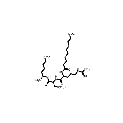 CNCCCC[C@@H](NC(=O)[C@H](CC(=O)O)NC(=O)C(CCCNC(=N)N)NC(=O)CCOCCOCCNC)C(=O)O